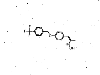 CC(=Cc1ccc(OCc2ccc(C(F)(F)F)cc2)cc1)NO